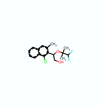 Cc1cc2ccccc2c(Cl)c1C(CO)OC(C)(C)C(F)F